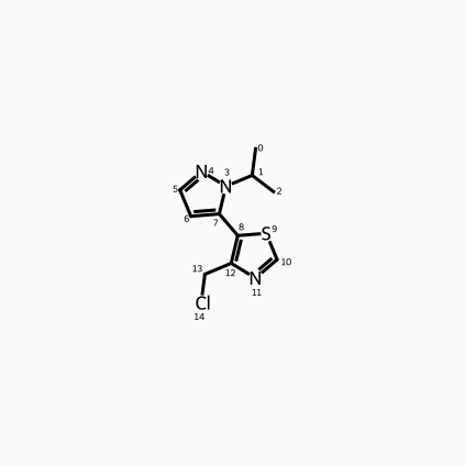 CC(C)n1nccc1-c1scnc1CCl